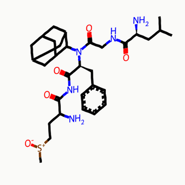 CC(C)C[C@H](N)C(=O)NCC(=O)N(C1C2CC3CC(C2)CC1C3)[C@@H](Cc1ccccc1)C(=O)NC(=O)C(N)CC[S+](C)[O-]